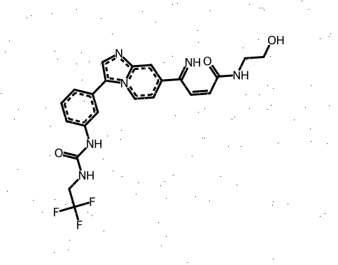 N=C(/C=C\C(=O)NCCO)c1ccn2c(-c3cccc(NC(=O)NCC(F)(F)F)c3)cnc2c1